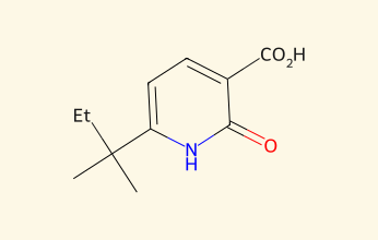 CCC(C)(C)c1ccc(C(=O)O)c(=O)[nH]1